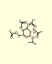 CC(=O)N[C@@H]1[C@H](OC(C)C)O[C@@H](COC(C)=O)[C@@H](OC(C)=O)[C@H]1OC(C)=O